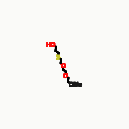 COCCOCCOCCSCCCO